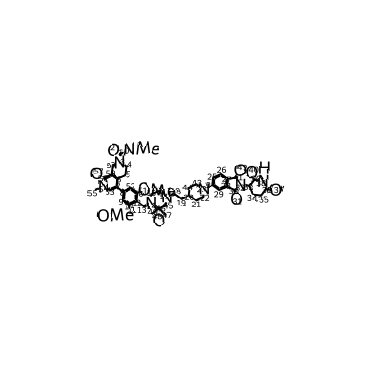 CNC(=O)N1CCc2c(-c3cc(OC)c(CN4CCN(CCC5CCN(c6ccc7c(c6)C(=O)N(C6CCC(=O)NC6=O)C7=O)CC5)CC45COC5)c(OC)c3)cn(C)c(=O)c2C1